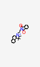 CC1=[N+](CCCN2C(=O)c3ccccc3C2=O)c2ccc3ccccc3c2C1(C)C